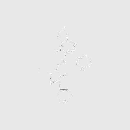 Cc1nn(-c2ccccc2)c(O)c1/C=N/n1c(-c2ccccc2)nc2ccccc2c1=O